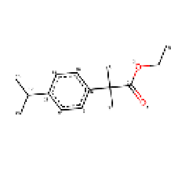 CCOC(=O)C(C)(C)c1ccc(C(C)C)cc1